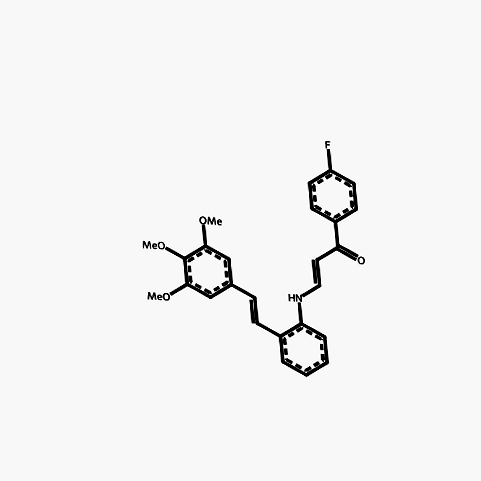 COc1cc(C=Cc2ccccc2NC=CC(=O)c2ccc(F)cc2)cc(OC)c1OC